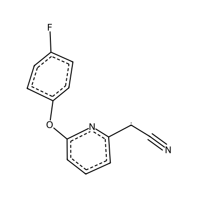 N#C[CH]c1cccc(Oc2ccc(F)cc2)n1